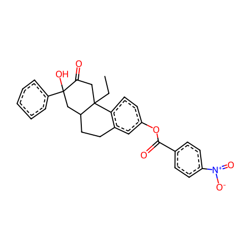 CCC12CC(=O)C(O)(c3ccccc3)CC1CCc1cc(OC(=O)c3ccc([N+](=O)[O-])cc3)ccc12